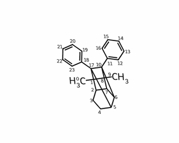 CC12C3CCC4C5C3C1(C)C5(c1ccccc1)C42c1ccccc1